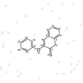 S=C1Cc2ccccc2[C]=C1Oc1ccccc1